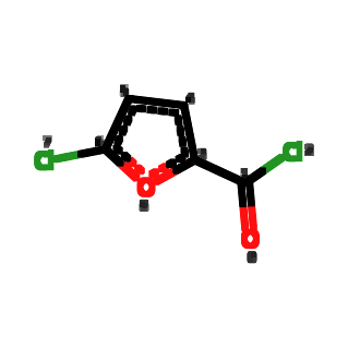 O=C(Cl)c1ccc(Cl)o1